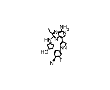 CCc1nc2c(N)ncc(-c3cnn(-c4ccc(C#N)c(F)c4)c3)c2nc1N[C@@H]1CC[C@H](O)C1